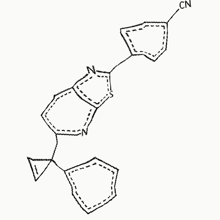 N#Cc1ccc(-c2nc3ccc(C4(c5ccccc5)C=C4)nc3s2)cc1